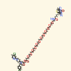 O=C(CCCC[C@@H]1SC[C@@H]2NC(=O)N[C@@H]21)NCCOCCOCCOCCOCCOCCOCCOCCOCCOCCOCCOCCOCCC(=O)OC[C@H]1CN(C2CCN(c3cc(Cl)ccn3)CC2)[C@@H](Cc2ccc(Cl)cc2)CO1